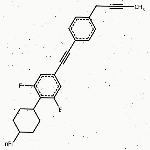 CC#CCc1ccc(C#Cc2cc(F)c(C3CCC(CCC)CC3)c(F)c2)cc1